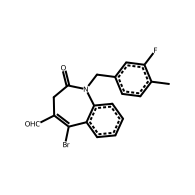 Cc1ccc(CN2C(=O)CC(C=O)=C(Br)c3ccccc32)cc1F